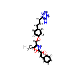 Cc1oc(-c2cc3ccccc3o2)nc1COc1ccc(CCCc2nnn[nH]2)cc1